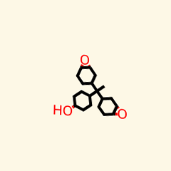 CC(C1CCC(O)CC1)(C1CCC2OC2C1)C1CCC2OC2C1